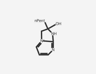 CCCCCC1(O)C[n+]2cccnc2N1